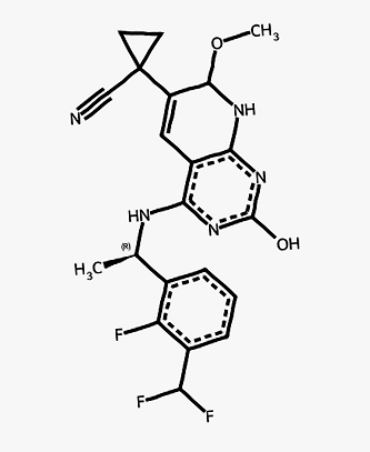 COC1Nc2nc(O)nc(N[C@H](C)c3cccc(C(F)F)c3F)c2C=C1C1(C#N)CC1